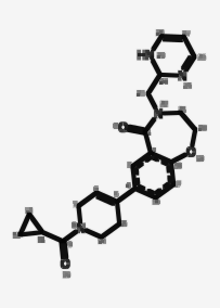 O=C1c2cc(C3=CCN(C(=O)C4CC4)CC3)ccc2OCCN1CC1N=CC=CN1